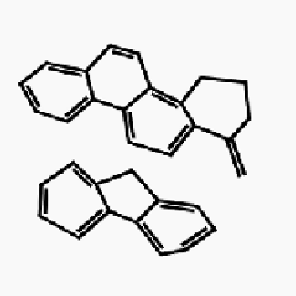 C=C1CCCc2c1ccc1c2ccc2ccccc21.c1ccc2c(c1)Cc1ccccc1-2